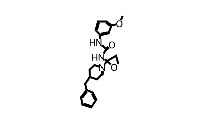 COc1cccc(NC(=O)NC2(N3CCC(Cc4ccccc4)CC3)CCO2)c1